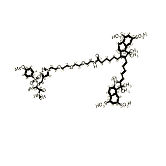 CCN1\C(=C/C=C/C=C/C2=C(CCCCCC(=O)NCCOCCOCCOCCn3cc(CN(C(C(=O)NO)C(C)C)S(=O)(=O)c4ccc(OC)cc4)nn3)c3ccc4c(S(=O)(=O)O)cc(S(=O)(=O)O)cc4c3C2(C)C)C(C)(C)c2c1ccc1c(S(=O)(=O)O)cc(S(=O)(=O)O)cc21